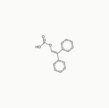 O=[PH](O)OC=C(c1ccccc1)c1ccccc1